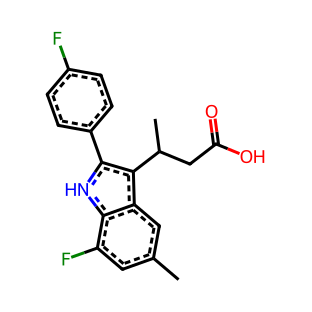 Cc1cc(F)c2[nH]c(-c3ccc(F)cc3)c(C(C)CC(=O)O)c2c1